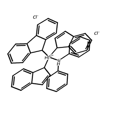 C1=C[CH]([Hf+2]([CH]2C=Cc3ccccc32)([CH]2c3ccccc3-c3ccccc32)[SiH](c2ccccc2)c2ccccc2)c2ccccc21.[Cl-].[Cl-]